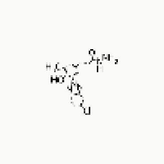 Cc1cc(CCC(=O)NN)cc(-n2nc3ccc(Cl)cc3n2)c1O